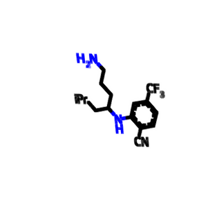 CC(C)CC(CCCN)Nc1cc(C(F)(F)F)ccc1C#N